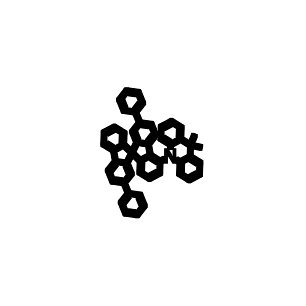 CC1(C)c2ccccc2N(c2cccc3c2-c2ccc(-c4ccccc4)cc2C32c3ccccc3-c3ccc(-c4ccccc4)cc32)c2ccccc21